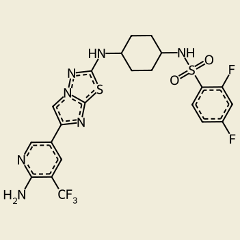 Nc1ncc(-c2cn3nc(NC4CCC(NS(=O)(=O)c5ccc(F)cc5F)CC4)sc3n2)cc1C(F)(F)F